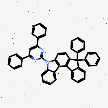 c1ccc(-c2cc(-c3ccccc3)nc(-n3c4ccccc4c4c5c(ccc43)C(c3ccccc3)(c3ccccc3)c3ccccc3-5)n2)cc1